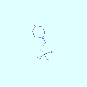 CC(C)(C)SCN1CCOCC1